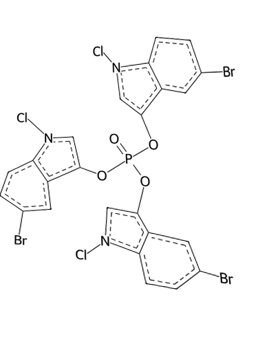 O=P(Oc1cn(Cl)c2ccc(Br)cc12)(Oc1cn(Cl)c2ccc(Br)cc12)Oc1cn(Cl)c2ccc(Br)cc12